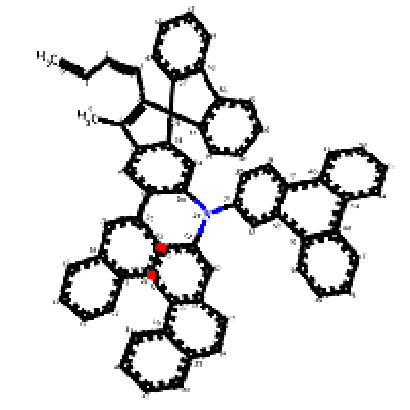 C=C/C=C\C1=C(C)c2cc(-c3ccc4ccccc4c3)c(N(c3ccc4c(ccc5ccccc54)c3)c3ccc4c5ccccc5c5ccccc5c4c3)cc2C12c1ccccc1-c1ccccc12